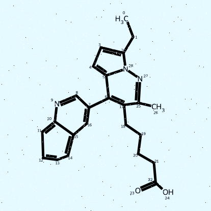 CCc1ccc2c(-c3cnc4ccccc4c3)c(CCCCC(=O)O)c(C)nn12